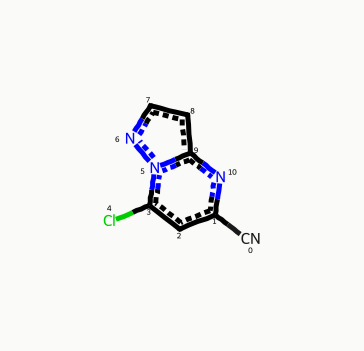 N#Cc1cc(Cl)n2nccc2n1